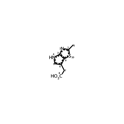 Cc1nc2[nH]cc(CC(=O)O)c2s1